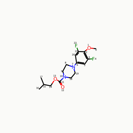 COc1c(F)cc(N2CCN(C(=O)OCC(C)C)CC2)cc1F